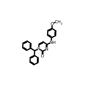 COc1ccc(Nc2[c]cn(C(c3ccccc3)c3ccccc3)c(=O)n2)cc1